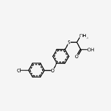 CC(Sc1ccc(Oc2ccc(Cl)cc2)cc1)C(=O)O